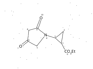 CCOC(=O)C1CC1N1CC(=O)CC1=O